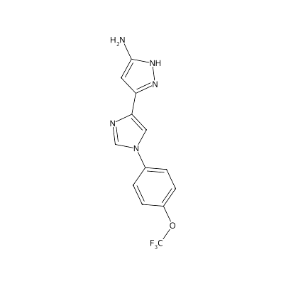 Nc1cc(-c2cn(-c3ccc(OC(F)(F)F)cc3)cn2)n[nH]1